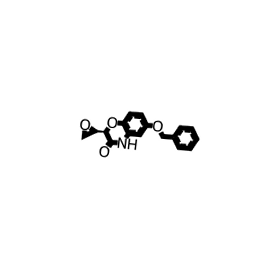 O=C1Nc2cc(OCc3ccccc3)ccc2O[C@@H]1C1CO1